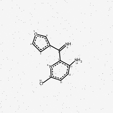 N=C(c1ccoc1)c1nc(Cl)ccc1N